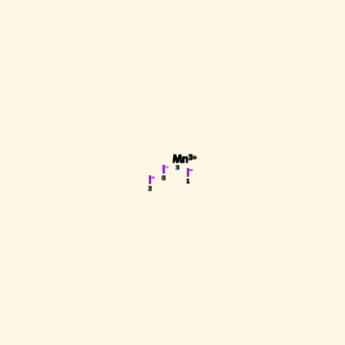 [I-].[I-].[I-].[Mn+3]